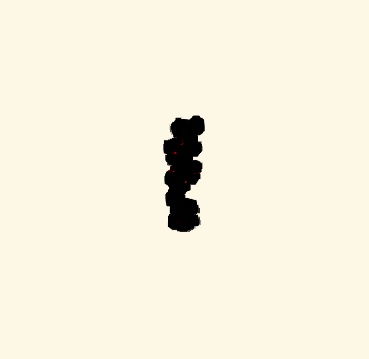 CC1(C)c2cc([Si]3(c4ccccc4)c4ccccc4Sc4ccccc43)ccc2-c2cccc(-c3cccc4c3Sc3ccccc3[Si]4(c3ccccc3)n3c4ccccc4c4cc(-c5cccc6c5Sc5ccccc5[Si]6(c5ccccc5)c5ccc6c(c5)c5ccccc5n6-c5ccccc5)ccc43)c21